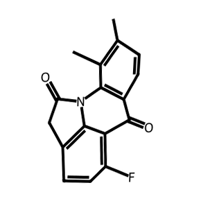 Cc1ccc2c(=O)c3c(F)ccc4c3n(c2c1C)C(=O)C4